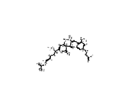 CC(=Cc1ccc(OCC(F)F)cc1C)C(=O)c1c(O)cc(C(C)CCC=CNC(=O)O)oc1=O